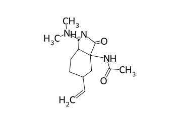 C=CC1CCC(CN(C)C)C(NC(C)=O)(C(N)=O)C1